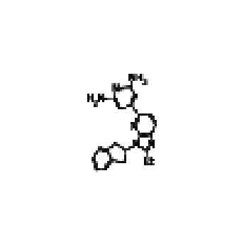 CCc1nc2ccc(-c3cc(N)nc(N)c3)nc2n1C1Cc2ccccc2C1